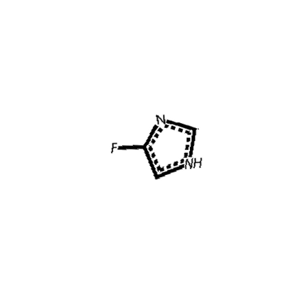 Fc1c[nH][c]n1